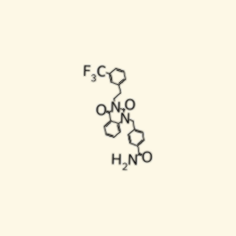 NC(=O)c1ccc(Cn2c(=O)n(CCc3cccc(C(F)(F)F)c3)c(=O)c3ccccc32)cc1